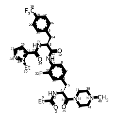 CCC(=O)N[C@H](Cc1ccc(NC(=O)[C@H](Cc2ccc(C(F)(F)F)cc2)NC(=O)c2ccnn2CC)c(F)c1)C(=O)N1CCN(C)CC1